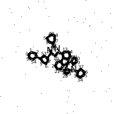 c1ccc(-c2cccc(-c3cc(-c4cccc5c4-c4ccccc4C54c5ccccc5N(c5ccccc5)c5ccccc54)nc(-c4ccccc4)n3)c2)cc1